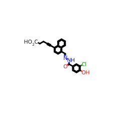 O=C(O)CCC#Cc1ccc(/C=N/NC(=O)c2ccc(O)c(Cl)c2)c2ccccc12